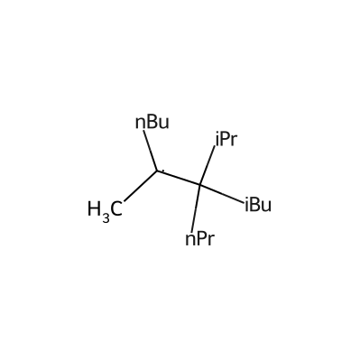 CCCC[C](C)C(CCC)(C(C)C)C(C)CC